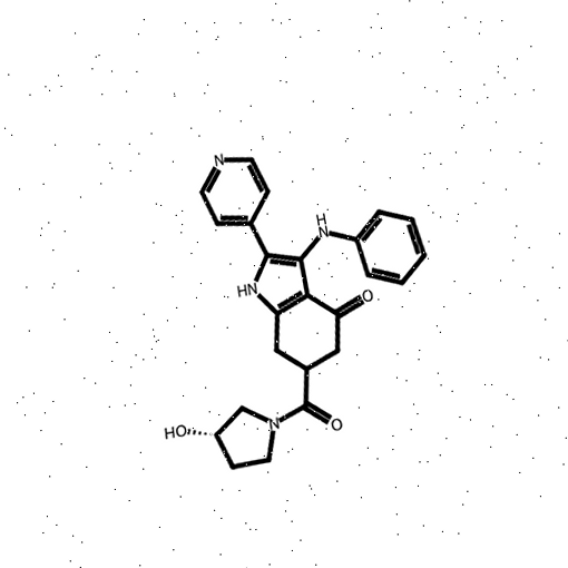 O=C1CC(C(=O)N2CC[C@H](O)C2)Cc2[nH]c(-c3ccncc3)c(Nc3ccccc3)c21